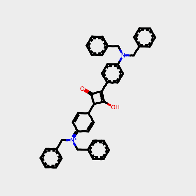 O=C1C(c2ccc(N(Cc3ccccc3)Cc3ccccc3)cc2)=C(O)C1C1C=CC(=[N+](Cc2ccccc2)Cc2ccccc2)C=C1